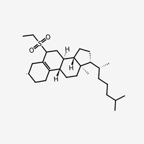 CCS(=O)(=O)C1C[C@@H]2[C@H](CC[C@]3(C)[C@@H]([C@H](C)CCCC(C)C)CC[C@@H]23)C2=C1C[CH]CC2